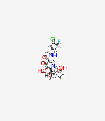 C[C@@]12CCCC[C@]1(O)Cn1cc(C(=O)NCc3ccc(F)c(Cl)c3)c(=O)c(O)c1C2=O